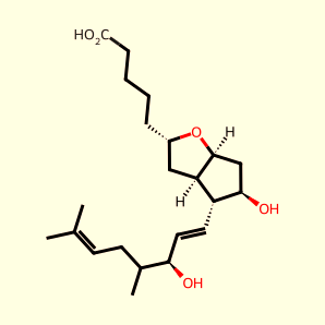 CC(C)=CCC(C)[C@H](O)C=C[C@@H]1[C@H]2C[C@H](CCCCC(=O)O)O[C@H]2C[C@H]1O